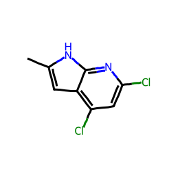 Cc1cc2c(Cl)cc(Cl)nc2[nH]1